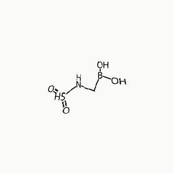 O=[SH](=O)NCB(O)O